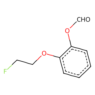 O=COc1ccccc1OCCF